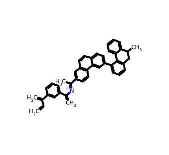 C=CC(=C)c1cccc(C(=C)/N=C(\C)c2ccc3c(ccc4ccc(-c5cccc6c5-c5ccccc5C(C)C6)cc43)c2)c1